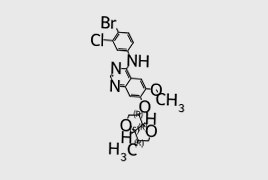 COc1cc2c(Nc3ccc(Br)c(Cl)c3)ncnc2cc1O[C@@H]1CO[C@@H]2[C@H]1OC[C@H]2C